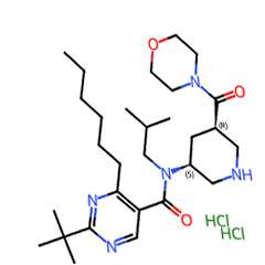 CCCCCCc1nc(C(C)(C)C)ncc1C(=O)N(CC(C)C)[C@@H]1CNC[C@H](C(=O)N2CCOCC2)C1.Cl.Cl